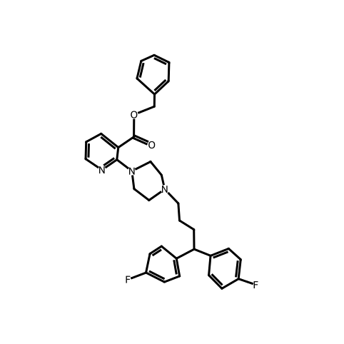 O=C(OCc1ccccc1)c1cccnc1N1CCN(CCCC(c2ccc(F)cc2)c2ccc(F)cc2)CC1